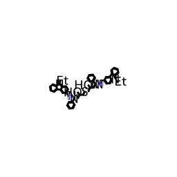 CCn1c2ccccc2c2cc(/C=N/N(CC(O)CSCC(O)CN(/N=C/c3ccc4c(c3)c3ccccc3n4CC)c3ccccc3)c3ccccc3)ccc21